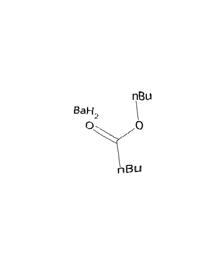 CCCCOC(=O)CCCC.[BaH2]